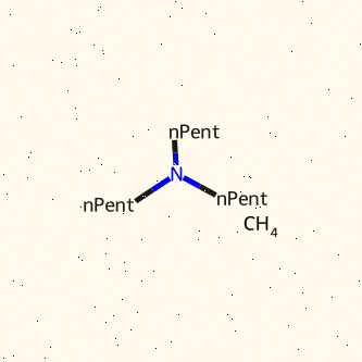 C.CCCCCN(CCCCC)CCCCC